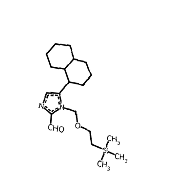 C[Si](C)(C)CCOCn1c(C2CCCC3CCCCC32)cnc1C=O